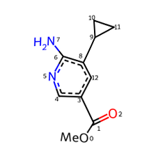 COC(=O)c1cnc(N)c(C2CC2)c1